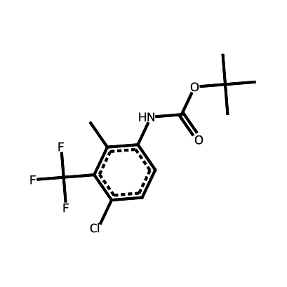 Cc1c(NC(=O)OC(C)(C)C)ccc(Cl)c1C(F)(F)F